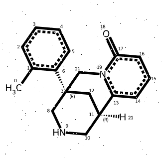 Cc1ccccc1[C@@]12CNC[C@@H](C1)c1cccc(=O)n1C2